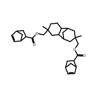 CC1(COC(=O)C2CC3C=CC2C3)CC2CC(C1)C1CC(C)(COC(=O)C3CC4C=CC3C4)CCC21